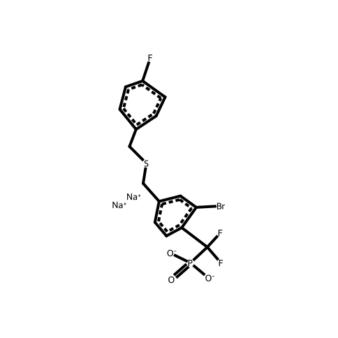 O=P([O-])([O-])C(F)(F)c1ccc(CSCc2ccc(F)cc2)cc1Br.[Na+].[Na+]